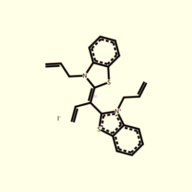 C=CCN1/C(=C(\C=C)c2sc3ccccc3[n+]2CC=C)Sc2ccccc21.[I-]